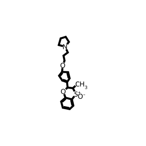 CC1C(c2ccc(OCCCN3CCCC3)cc2)Oc2ccccc2[S+]1[O-]